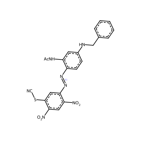 CC(=O)Nc1cc(NCc2ccccc2)ccc1/N=N/c1cc(SC#N)c([N+](=O)[O-])cc1[N+](=O)[O-]